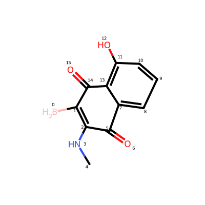 BC1=C(NC)C(=O)c2cccc(O)c2C1=O